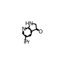 CC(C)c1cnc2c(c1)C(=O)CN2